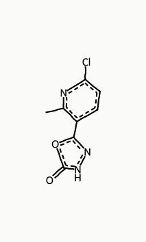 Cc1nc(Cl)ccc1-c1n[nH]c(=O)o1